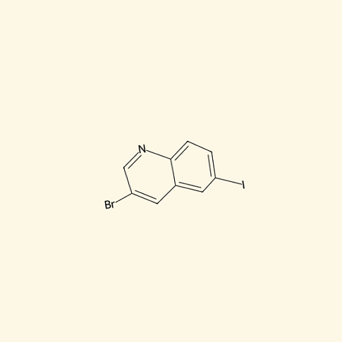 Brc1cnc2ccc(I)cc2c1